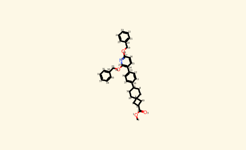 COC(=O)C1CC2(CCC(c3ccc(-c4ccc(OCc5ccccc5)nc4OCc4ccccc4)cc3)CC2)C1